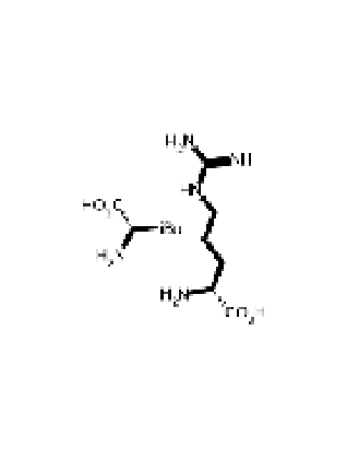 CC[C@H](C)[C@H](N)C(=O)O.N=C(N)NCCC[C@@H](N)C(=O)O